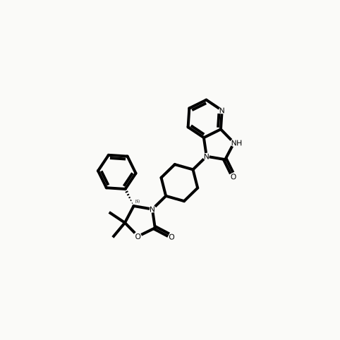 CC1(C)OC(=O)N(C2CCC(n3c(=O)[nH]c4ncccc43)CC2)[C@H]1c1ccccc1